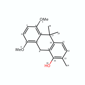 COc1ccc(OC)c2c1Cc1c(ccc(C)c1O)C2(C)C